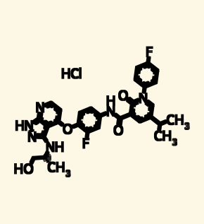 CC(C)c1cc(C(=O)Nc2ccc(Oc3ccnc4[nH]nc(N[C@H](C)CO)c34)c(F)c2)c(=O)n(-c2ccc(F)cc2)c1.Cl